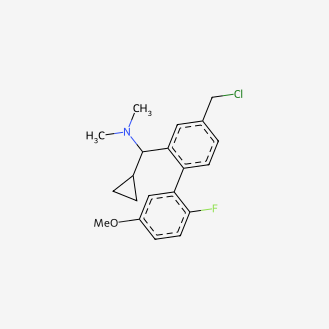 COc1ccc(F)c(-c2ccc(CCl)cc2C(C2CC2)N(C)C)c1